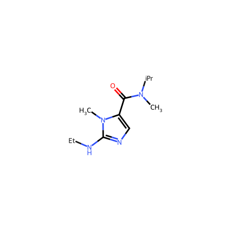 CCNc1ncc(C(=O)N(C)C(C)C)n1C